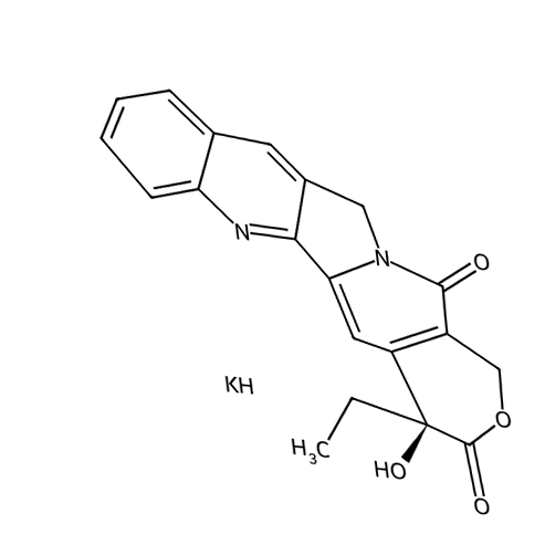 CC[C@@]1(O)C(=O)OCc2c1cc1n(c2=O)Cc2cc3ccccc3nc2-1.[KH]